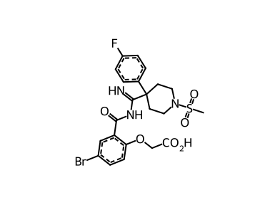 CS(=O)(=O)N1CCC(C(=N)NC(=O)c2cc(Br)ccc2OCC(=O)O)(c2ccc(F)cc2)CC1